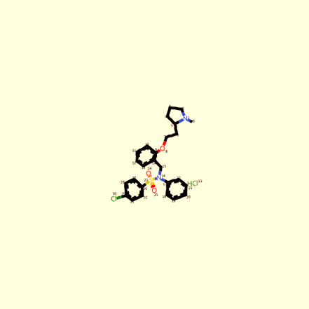 CN1CCCC1CCOc1ccccc1CN(c1ccccc1)S(=O)(=O)c1ccc(Cl)cc1.Cl